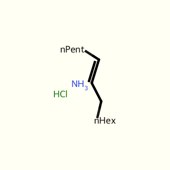 CCCCCC=CCCCCCCC.Cl.N